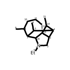 CCN1CC2C3C(C)C4C(C)CCC[C@@]2(C3C)C41